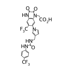 O=C(O)Cn1c(=O)c(=O)[nH]c2cc(C(F)(F)F)c(-n3ccc(CNC(=O)Nc4ccc(C(F)(F)F)cc4)c3)cc21